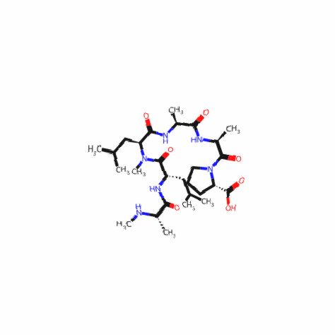 CN[C@@H](C)C(=O)N[C@@H](CC(C)C)C(=O)N(C)[C@@H](CC(C)C)C(=O)N[C@@H](C)C(=O)N[C@@H](C)C(=O)N1CCC[C@H]1C(=O)O